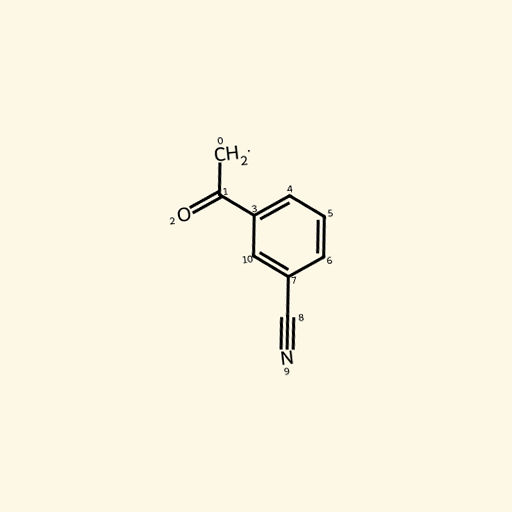 [CH2]C(=O)c1cccc(C#N)c1